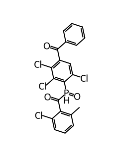 Cc1cccc(Cl)c1C(=O)[PH](=O)c1c(Cl)cc(C(=O)c2ccccc2)c(Cl)c1Cl